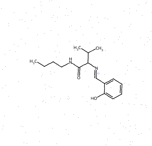 CCCCNC(=O)C(/N=C/c1ccccc1O)C(C)C